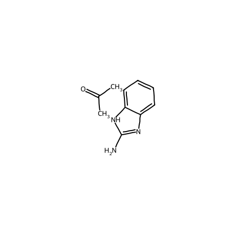 CC(C)=O.Nc1nc2ccccc2[nH]1